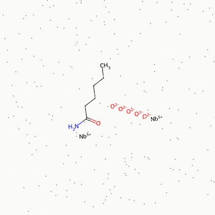 CCCCCC(N)=O.[Nb+5].[Nb+5].[O-2].[O-2].[O-2].[O-2].[O-2]